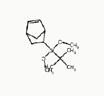 CO[Si](OC)(C1CC2C=CC1C2)C(C)(C)C